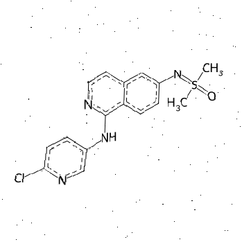 CS(C)(=O)=Nc1ccc2c(Nc3ccc(Cl)nc3)nccc2c1